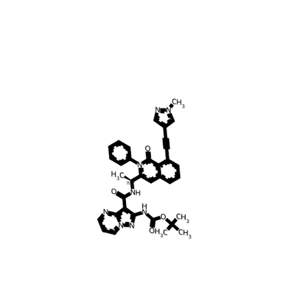 C[C@H](NC(=O)c1c(NC(=O)OC(C)(C)C)nn2cccnc12)c1cc2cccc(C#Cc3cnn(C)c3)c2c(=O)n1-c1ccccc1